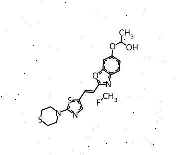 CC(O)Oc1ccc2nc(C=Cc3cnc(N4CCSCC4)s3)oc2c1.CF